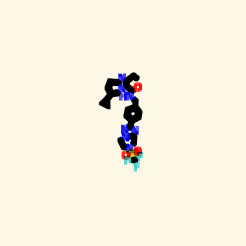 CCc1nc2ccc(C3CC3)cn2c1C(=O)NCc1ccc(-c2nc3n(n2)CCN(S(=O)(=O)C(F)(F)F)C3)cc1